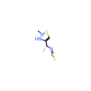 C[C@@H](N=C=S)C1=CSN(C)N1